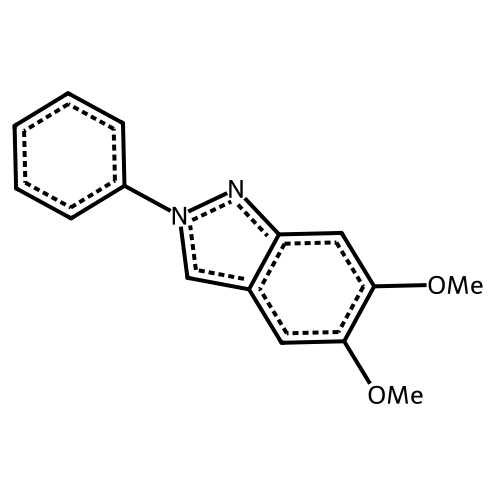 COc1cc2cn(-c3ccccc3)nc2cc1OC